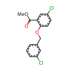 COC(=O)c1cc(Cl)ccc1OCc1cccc(Cl)c1